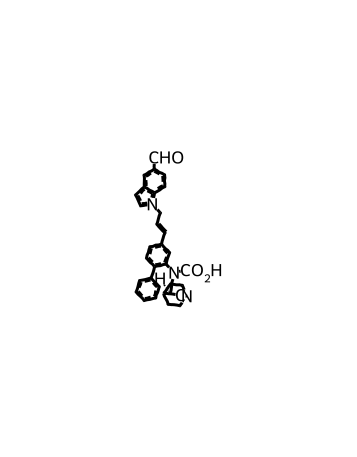 O=Cc1ccc2c(ccn2C/C=C/c2ccc(-c3ccccc3)c(N(C(=O)O)[C@H]3CN4CCC3CC4)c2)c1